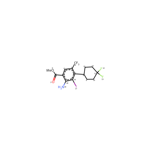 COC(=O)c1cc(C(F)(F)F)c(C2CCC(F)(F)CC2)c(I)c1N